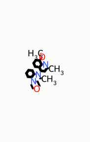 CCN(c1ccccc1N1CCOCC1)c1cc(C)nc2c(OC)cccc12